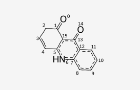 O=C1CC=Cc2[nH]c3ccccc3c(=O)c21